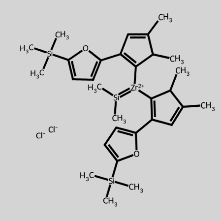 CC1=CC(c2ccc([Si](C)(C)C)o2)=[C]([Zr+2]([C]2=C(c3ccc([Si](C)(C)C)o3)C=C(C)C2C)=[Si](C)C)C1C.[Cl-].[Cl-]